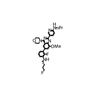 CCCNc1ccc(-c2nc(N3CCOCC3)c3cc(-c4cccc(NSCCCF)c4F)cc(OC)c3n2)cn1